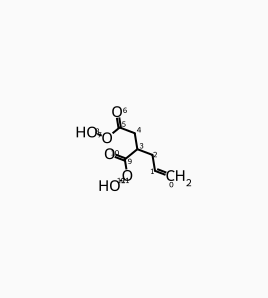 C=CCC(CC(=O)OO)C(=O)OO